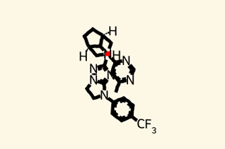 Cc1cc(N2C[C@H]3CC[C@@H](C2)C3Nc2nc3n(n2)CCN3c2ccc(C(F)(F)F)cc2)ncn1